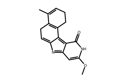 COc1cc2c(c(=O)[nH]1)=C1C(=CCC3=C1CCC=C3C)N=2